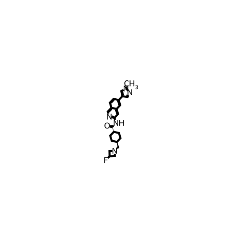 Cn1cc(-c2ccc3cnc(NC(=O)[C@H]4CC[C@H](CN5CC(F)C5)CC4)cc3c2)cn1